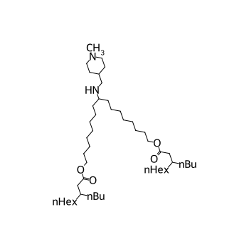 CCCCCCC(CCCC)CC(=O)OCCCCCCCCC(CCCCCCCCOC(=O)CC(CCCC)CCCCCC)NCC1CCN(C)CC1